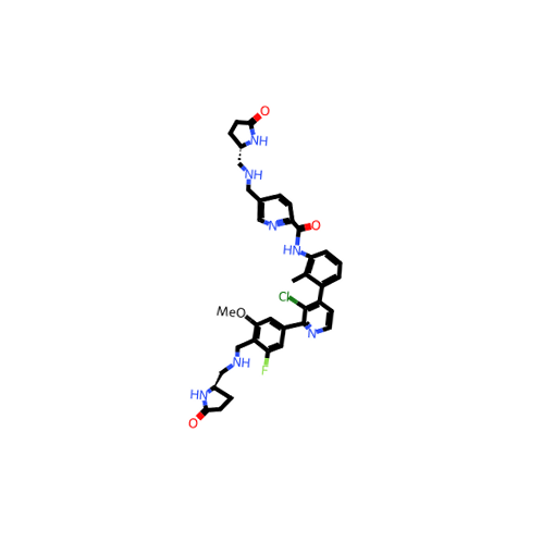 COc1cc(-c2nccc(-c3cccc(NC(=O)c4ccc(CNC[C@@H]5CCC(=O)N5)cn4)c3C)c2Cl)cc(F)c1CNC[C@H]1CCC(=O)N1